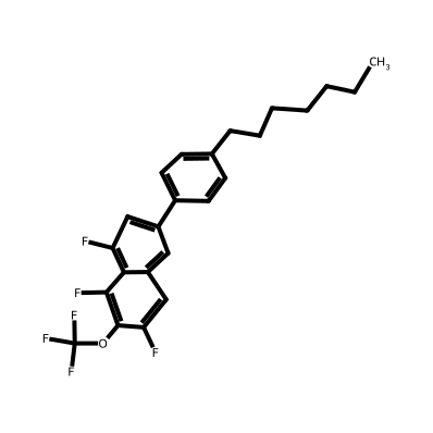 CCCCCCCc1ccc(-c2cc(F)c3c(F)c(OC(F)(F)F)c(F)cc3c2)cc1